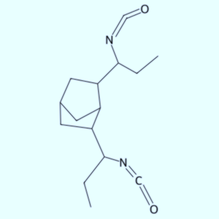 CCC(N=C=O)C1CC2CC(C(CC)N=C=O)C1C2